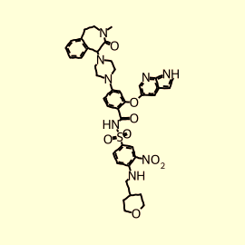 CN1CCc2ccccc2C(N2CCN(c3ccc(C(=O)NS(=O)(=O)c4ccc(NCC5CCOCC5)c([N+](=O)[O-])c4)c(Oc4cnc5[nH]ccc5c4)c3)CC2)C1=O